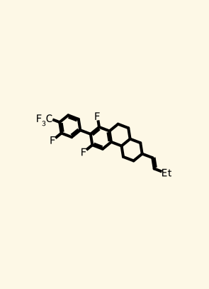 CCC=CC1CCC2c3cc(F)c(-c4ccc(C(F)(F)F)c(F)c4)c(F)c3CCC2C1